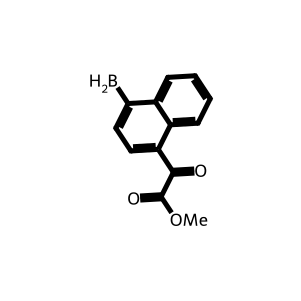 Bc1ccc(C(=O)C(=O)OC)c2ccccc12